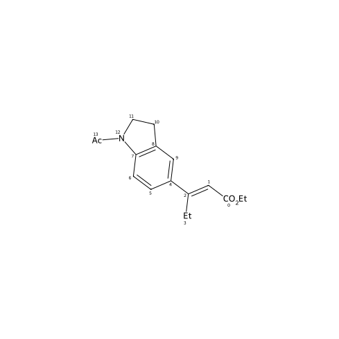 CCOC(=O)C=C(CC)c1ccc2c(c1)CCN2C(C)=O